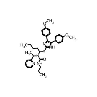 CCCCC(Sc1nc(-c2ccc(OC)cc2)c(-c2ccc(OC)cc2)[nH]1)N(C(=O)NCCC)C(C)c1ccccn1